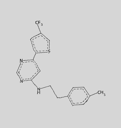 Cc1ccc(CCNc2cc(-c3cc(C(F)(F)F)cs3)ncn2)cc1